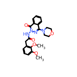 COc1cccc(CC(=O)Nn2nc(N3CCOCC3)c3ccccc3c2=O)c1OC